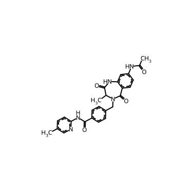 CC(=O)Nc1ccc2c(c1)NC(=O)C(C)N(Cc1ccc(C(=O)Nc3ccc(C)cn3)cc1)C2=O